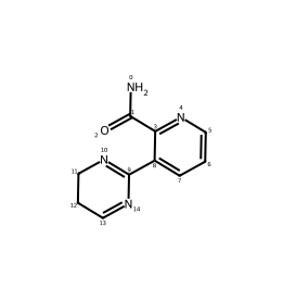 NC(=O)c1ncccc1C1=NCCC=N1